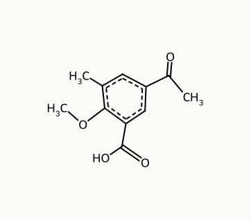 COc1c(C)cc(C(C)=O)cc1C(=O)O